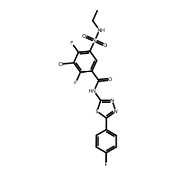 CCNS(=O)(=O)c1cc(C(=O)Nc2nnc(-c3ccc(F)cc3)s2)c(F)c(Cl)c1F